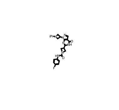 CC(C)N1CC(n2ncc3c(=O)[nH]c(C4CN(C(=O)Nc5ccc(F)cc5)C4)nc32)C1